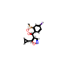 C[S+]([O-])c1cc(I)ccc1C(=O)c1cnoc1C1CC1